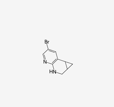 Brc1cnc2c(c1)C1CC1CN2